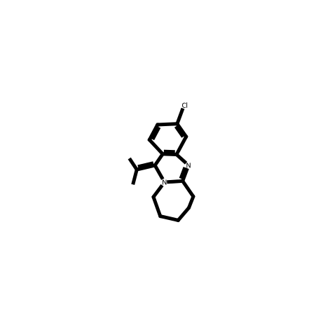 CC(C)=C1c2ccc(Cl)cc2N=C2CCCCCN21